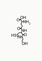 NC(CCC(=O)NC(CSS)C(=O)NCCO)C(=O)O